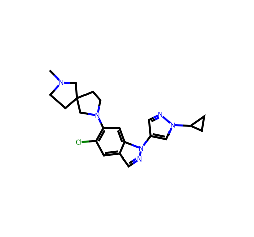 CN1CCC2(CCN(c3cc4c(cnn4-c4cnn(C5CC5)c4)cc3Cl)C2)C1